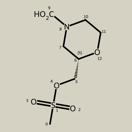 CS(=O)(=O)OC[C@@H]1CN(C(=O)O)CCO1